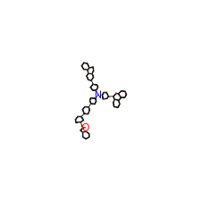 c1cc(-c2ccc(-c3ccc(N(c4ccc(-c5ccc6c(ccc7ccccc76)c5)cc4)c4ccc(-c5cc6ccccc6c6ccccc56)cc4)cc3)cc2)cc(-c2cc3ccccc3o2)c1